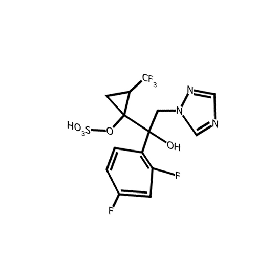 O=S(=O)(O)OC1(C(O)(Cn2cncn2)c2ccc(F)cc2F)CC1C(F)(F)F